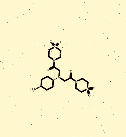 N[C@H]1CC[C@H](N(CC(=O)N2CCS(=O)(=O)CC2)CC(=O)N2CCS(=O)(=O)CC2)CC1